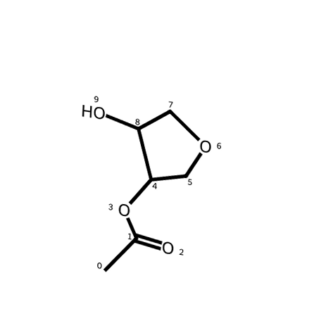 CC(=O)OC1COCC1O